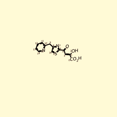 O=C(O)/C(O)=C/C(=O)c1nc(Cc2ccccn2)cs1